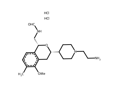 COc1c(C)ccc2c1C[C@@H](C1CCN(CCN)CC1)O[C@H]2CNC=O.Cl.Cl